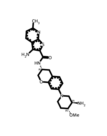 CO[C@@H]1CCN(c2ccc3c(c2)OC[C@H](NC(=O)c2sc4nc(C)ccc4c2N)C3)C[C@H]1N